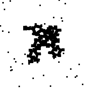 N#Cc1ccc2c3ccc(C#N)cc3n(-c3ccc(-c4ccc(F)c(F)c4)cc3-c3nc(-c4ccccc4)nc(-c4ccccc4)n3)c2c1